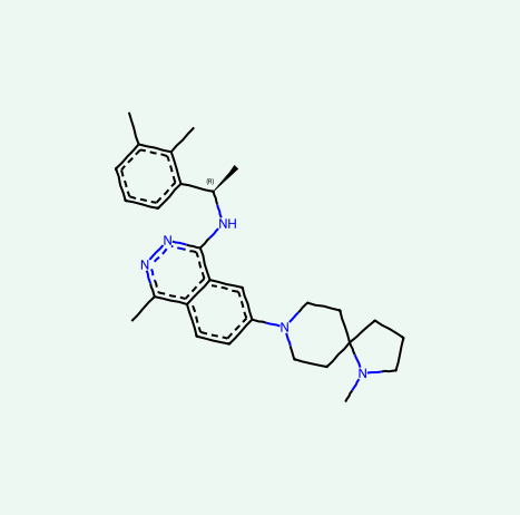 Cc1cccc([C@@H](C)Nc2nnc(C)c3ccc(N4CCC5(CCCN5C)CC4)cc23)c1C